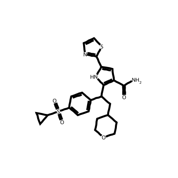 NC(=O)c1cc(-c2nccs2)[nH]c1C(CC1CCOCC1)c1ccc(S(=O)(=O)C2CC2)cc1